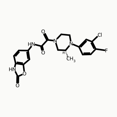 C[C@@H]1CN(C(=O)C(=O)Nc2ccc3[nH]c(=O)oc3c2)CCN1c1ccc(F)c(Cl)c1